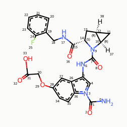 NC(=O)n1cc(NC(=O)N2[C@@H]3C[C@@H]3C[C@H]2C(=O)NCc2ccccc2F)c2cc(OCC(=O)O)ccc21